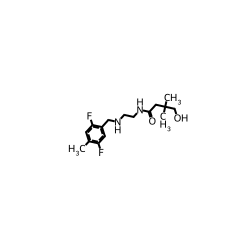 Cc1cc(F)c(CNCCNC(=O)CC(C)(C)CO)cc1F